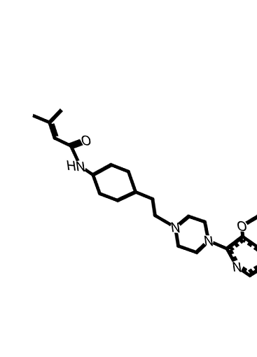 CC(C)=CC(=O)NC1CCC(CCN2CCN(c3nccc4c3OCC4)CC2)CC1